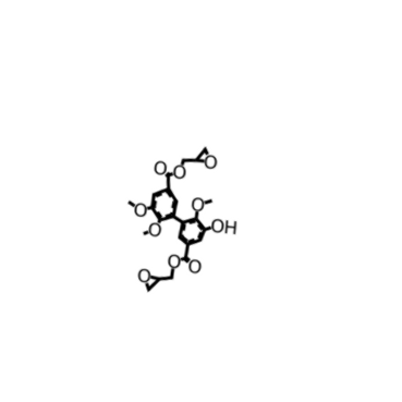 COc1cc(C(=O)OCC2CO2)cc(-c2cc(C(=O)OCC3CO3)cc(O)c2OC)c1OC